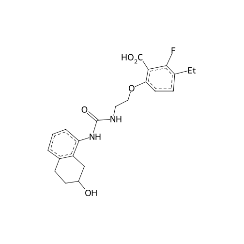 CCc1ccc(OCCNC(=O)Nc2cccc3c2CC(O)CC3)c(C(=O)O)c1F